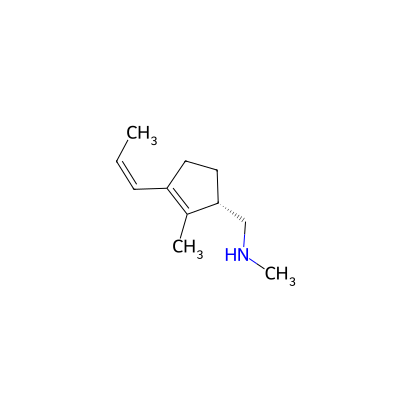 C/C=C\C1=C(C)[C@@H](CNC)CC1